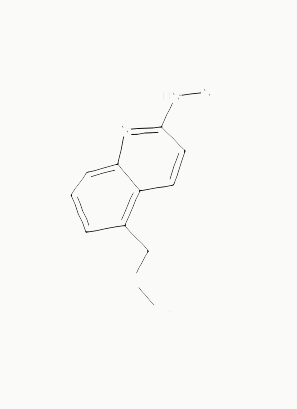 COCc1cccc2nc(NN)ccc12